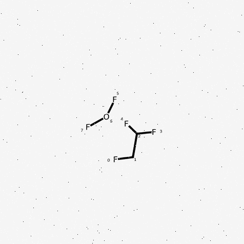 FCC(F)F.FOF